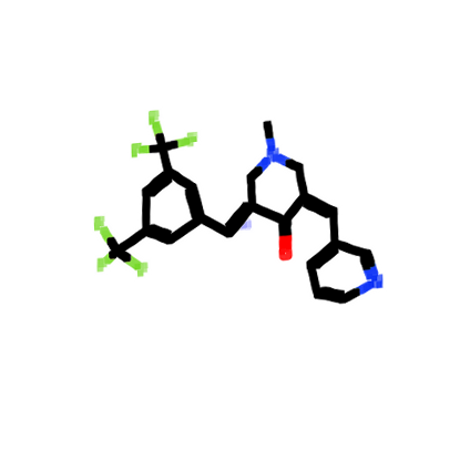 CN1CC(=Cc2cccnc2)C(=O)/C(=C/c2cc(C(F)(F)F)cc(C(F)(F)F)c2)C1